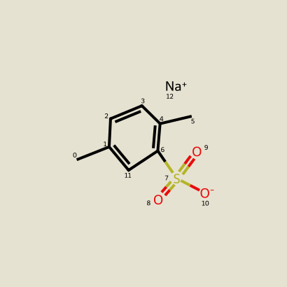 Cc1ccc(C)c(S(=O)(=O)[O-])c1.[Na+]